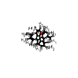 BC/C(B)=C(/B)C1=C(C(B)=C)C2(C(C(/B)=C(/B)C)=C(/C(B)=C(/B)C)c3c(B)c(B)c(B)c(B)c32)c2c(B)c(B)c(B)c(B)c21